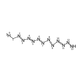 [3H]C/N=N/N=N/N=N/N=N/N=N/N=N